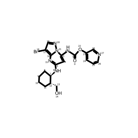 O=C(Nc1cc(N[C@@H]2CCCC[C@H]2CO)nc2c(Br)cnn12)Oc1cccnc1